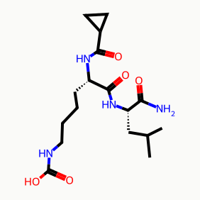 CC(C)C[C@H](NC(=O)[C@H](CCCCNC(=O)O)NC(=O)C1CC1)C(N)=O